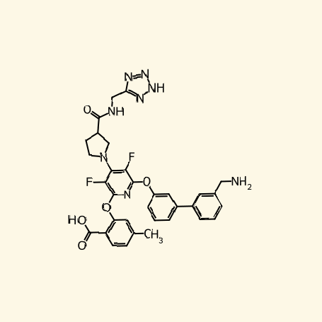 Cc1ccc(C(=O)O)c(Oc2nc(Oc3cccc(-c4cccc(CN)c4)c3)c(F)c(N3CCC(C(=O)NCc4nn[nH]n4)C3)c2F)c1